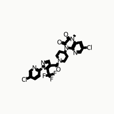 Cn1c(=O)c(=O)n(C2CCN(C(=O)c3cnn(-c4ccc(Cl)cn4)c3C(F)(F)F)CC2)c2ncc(Cl)cc21